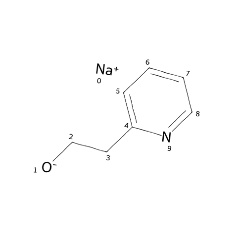 [Na+].[O-]CCc1ccccn1